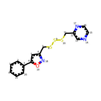 c1ccc(-c2cc(CSSSCc3cnccn3)no2)cc1